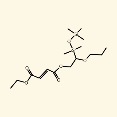 CCCOC(COC(=O)C=CC(=O)OCC)[Si](C)(C)O[Si](C)(C)C